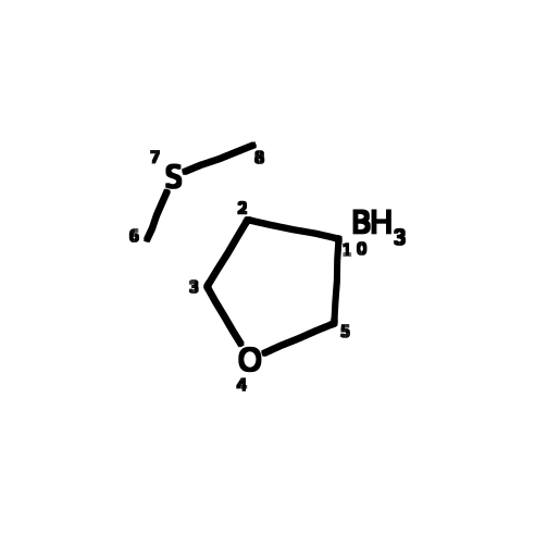 B.C1CCOC1.CSC